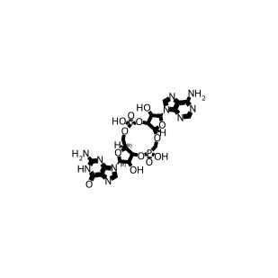 Nc1nc2c(ncn2[C@@H]2O[C@@H]3COP(=O)(O)OC4C(O)[C@H](n5cnc6c(N)ncnc65)O[C@@H]4OCP(=O)(O)OC3C2O)c(=O)[nH]1